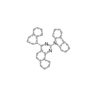 c1ccc2c(-c3nc(-n4c5ccccc5c5ccccc54)nc4c3ccc3ccccc34)cccc2c1